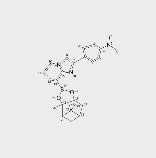 CN(C)c1ccc(-c2cn3cccc(B4OC5CC6CC(C6(C)C)C5(C)O4)c3n2)cc1